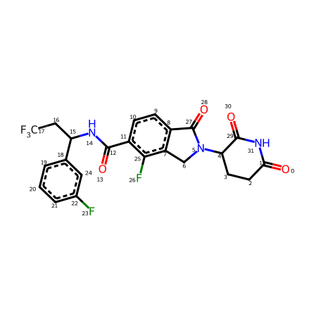 O=C1CCC(N2Cc3c(ccc(C(=O)NC(CC(F)(F)F)c4cccc(F)c4)c3F)C2=O)C(=O)N1